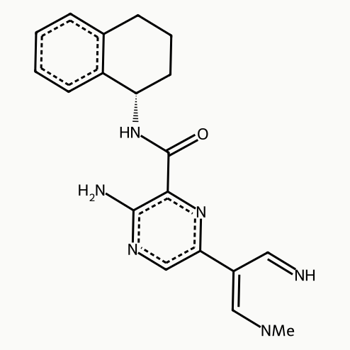 CN/C=C(\C=N)c1cnc(N)c(C(=O)N[C@H]2CCCc3ccccc32)n1